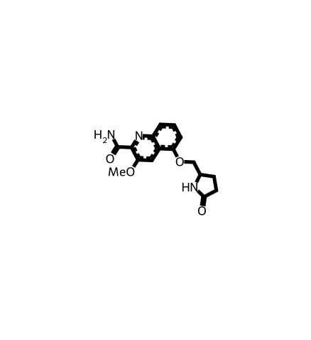 COc1cc2c(OCC3CCC(=O)N3)cccc2nc1C(N)=O